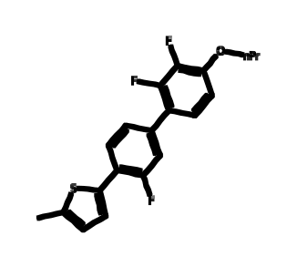 CCCOc1ccc(-c2ccc(-c3ccc(C)s3)c(F)c2)c(F)c1F